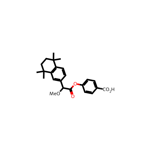 COC(C(=O)Oc1ccc(C(=O)O)cc1)c1ccc2c(c1)C(C)(C)CCC2(C)C